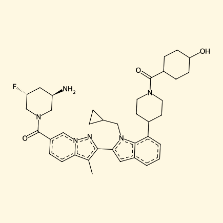 Cc1c(-c2cc3cccc(C4CCN(C(=O)C5CCC(O)CC5)CC4)c3n2CC2CC2)nn2cc(C(=O)N3C[C@H](N)C[C@@H](F)C3)ccc12